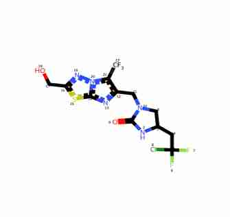 O=C1NC(CC(F)(F)Cl)CN1Cc1nc2sc(CO)nn2c1C(F)(F)F